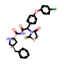 O=C(NC(=O)[C@@H]1C[C@@H](Cc2ccccc2)CN1)C(c1ccc(Oc2ccc(F)cc2)cc1)N1C(=O)CSC1=S